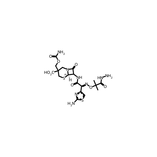 CC(C)(ON=C(C(=O)NC1C(=O)N2CC(COC(N)=O)(C(=O)O)CS[C@H]12)c1csc(N)n1)C(=O)NN